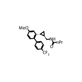 CCCC(=O)NC[C@@H]1C[C@H]1c1cc(OC)ccc1-c1ccc(C(F)(F)F)cc1